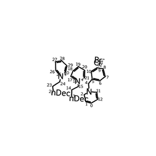 C1=CCN(Cc2ccccc2)C=C1.CCCCCCCCCCCC[n+]1ccccc1.CCCCCCCCCCCC[n+]1ccccc1.[Br-].[Cl-]